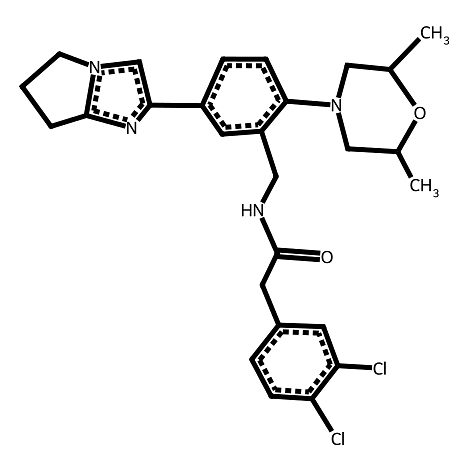 CC1CN(c2ccc(-c3cn4c(n3)CCC4)cc2CNC(=O)Cc2ccc(Cl)c(Cl)c2)CC(C)O1